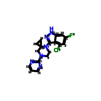 Fc1cc(Cl)c2c(N3CCN(c4ncccn4)CC34CC4)n[nH]c2c1